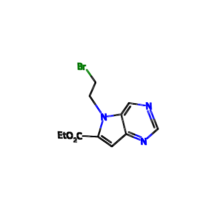 CCOC(=O)c1cc2ncncc2n1CCBr